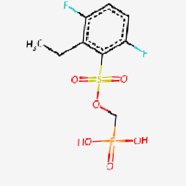 CCc1c(F)ccc(F)c1S(=O)(=O)OCP(=O)(O)O